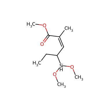 CCC(C=C(C)C(=O)OC)[SiH](OC)OC